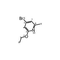 CCOc1cc(Br)cc(C)n1